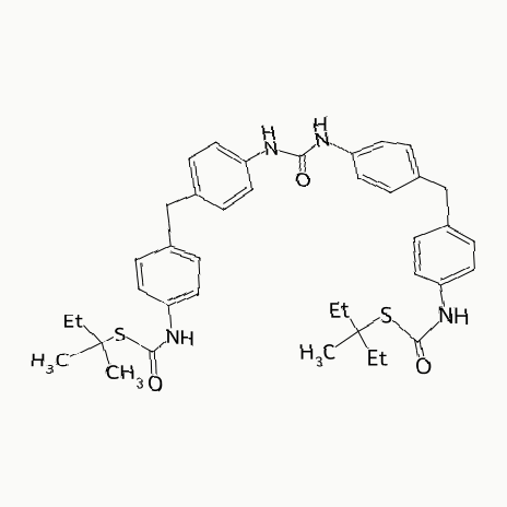 CCC(C)(C)SC(=O)Nc1ccc(Cc2ccc(NC(=O)Nc3ccc(Cc4ccc(NC(=O)SC(C)(CC)CC)cc4)cc3)cc2)cc1